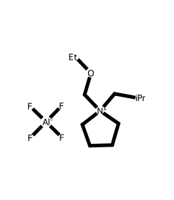 CCOC[N+]1(CC(C)C)CCCC1.[F][Al-]([F])([F])[F]